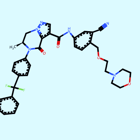 C[C@H]1Cn2ncc(C(=O)Nc3ccc(COCCN4CCOCC4)c(C#N)c3)c2C(=O)N1c1ccc(C(F)(F)c2ccccc2)cc1